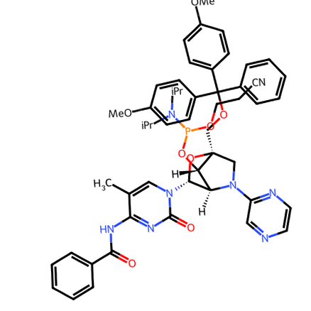 COc1ccc(C(OC[C@@]23CN(c4cnccn4)[C@@H]([C@H](n4cc(C)c(NC(=O)c5ccccc5)nc4=O)O2)[C@@H]3OP(OCCC#N)N(C(C)C)C(C)C)(c2ccccc2)c2ccc(OC)cc2)cc1